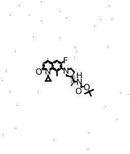 Cc1c(N2CC[C@@H]([C@H](C)NC(=O)OC(C)(C)C)C2)c(F)cc2[c]cc(=O)n(C3CC3)c12